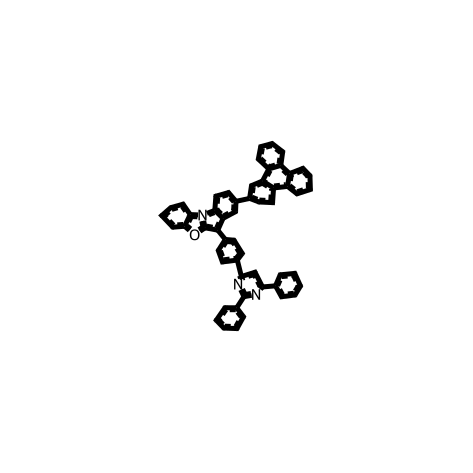 c1ccc(-c2cc(-c3ccc(-c4c5cc(-c6ccc7c8ccccc8c8ccccc8c7c6)ccc5n5c4oc4ccccc45)cc3)nc(-c3ccccc3)n2)cc1